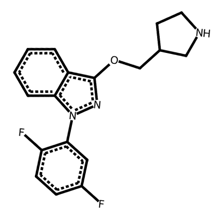 Fc1ccc(F)c(-n2nc(OCC3CCNC3)c3ccccc32)c1